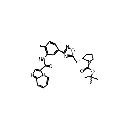 Cc1ccc(-c2noc(C[C@@H]3CCCN3C(=O)OC(C)(C)C)n2)cc1NC(=O)c1cnc2ccccn12